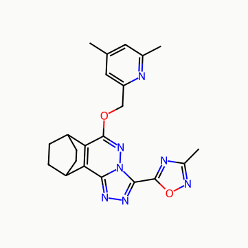 Cc1cc(C)nc(COc2nn3c(-c4nc(C)no4)nnc3c3c2C2CCC3CC2)c1